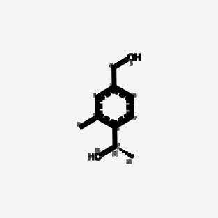 Cc1cc(CO)ccc1[C@H](C)O